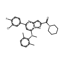 Cc1cccc(C)c1N(C)c1cc(-c2ccc(F)c(Cl)c2)nc2cc(C(=O)N3CCCCC3)nn12